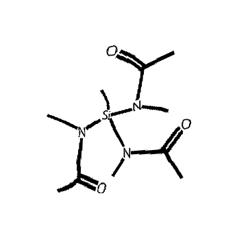 CC(=O)N(C)[Si](C)(N(C)C(C)=O)N(C)C(C)=O